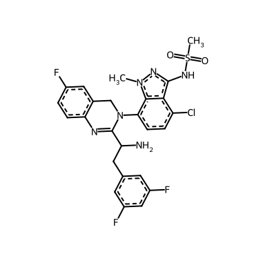 Cn1nc(NS(C)(=O)=O)c2c(Cl)ccc(N3Cc4cc(F)ccc4N=C3C(N)Cc3cc(F)cc(F)c3)c21